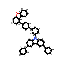 c1ccc(-c2ccc3c(c2)c2cc(-c4ccccc4)ccc2n3-c2cccc(-c3ccc(-c4cccc5oc6ccccc6c45)cc3)c2)cc1